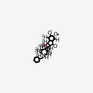 [2H]c1c(OC)c(OC)c([2H])c2c1C(=O)C([2H])(C([2H])([2H])C1([2H])C([2H])([2H])C([2H])([2H])N(Cc3ccccc3)C([2H])([2H])C1([2H])[2H])C2([2H])[2H]